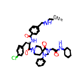 COCCNCc1ccc(C(=O)N[C@H](Cc2ccc(Cl)cc2)C(=O)N2CCC3(CC2)C(=O)N(CC(=O)NC2CCCCC2)CN3c2ccccc2)cc1